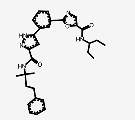 CCC(CC)NC(=O)c1cnc(-c2cccc(-c3cc(C(=O)NC(C)(C)CCc4ccccc4)n[nH]3)c2)o1